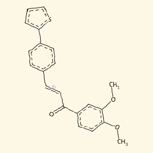 COc1ccc(C(=O)/C=C/c2ccc(-c3cccs3)cc2)cc1OC